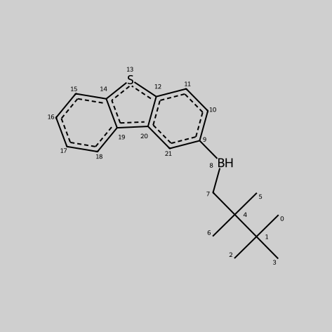 CC(C)(C)C(C)(C)CBc1ccc2sc3ccccc3c2c1